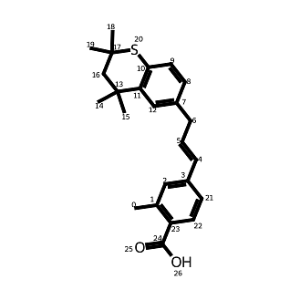 Cc1cc(/C=C/Cc2ccc3c(c2)C(C)(C)CC(C)(C)S3)ccc1C(=O)O